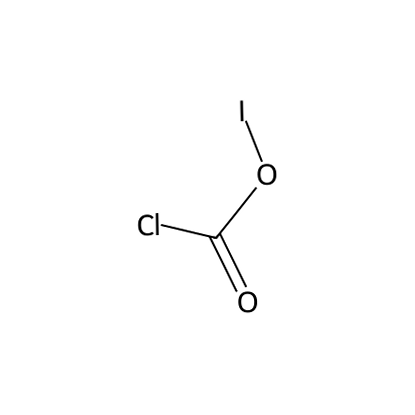 O=C(Cl)OI